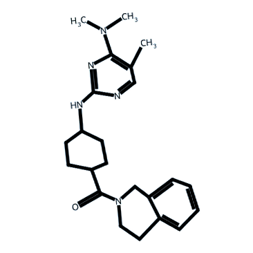 Cc1cnc(NC2CCC(C(=O)N3CCc4ccccc4C3)CC2)nc1N(C)C